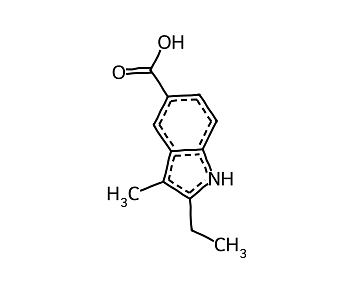 CCc1[nH]c2ccc(C(=O)O)cc2c1C